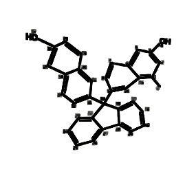 Cc1cc(O)cc2ccc(C3(c4ccc5cc(O)ccc5c4)c4ccccc4-c4ccccc43)cc12